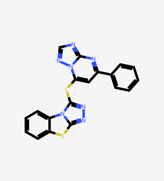 c1ccc(-c2cc(Sc3nnc4sc5ccccc5n34)n3ncnc3n2)cc1